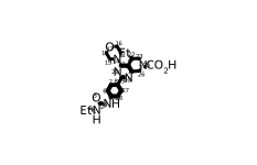 CCNC(=O)Nc1ccc(-c2nc3c(c(N4CCOCC4)n2)C(CC)CN(C(=O)O)C3)cc1